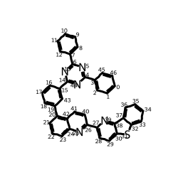 c1ccc(-c2nc(-c3ccccc3)nc(-c3cccc(-c4cccc5nc(-c6ccc7sc8ccccc8c7n6)ccc45)c3)n2)cc1